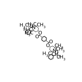 CC(ON1C(C)(C)CC(OC(=O)c2ccc(C(=O)OC3CC(C)(C)N(OC(C)c4ccccc4)C(C)(C)C3)cc2)CC1(C)C)c1ccccc1